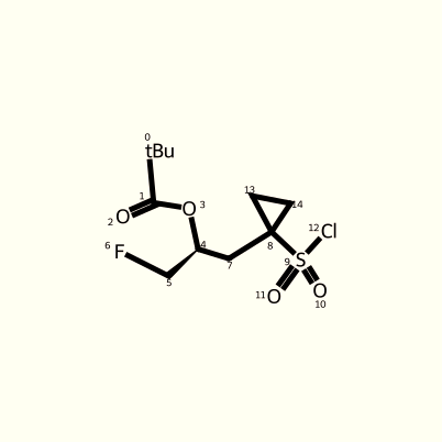 CC(C)(C)C(=O)O[C@H](CF)CC1(S(=O)(=O)Cl)CC1